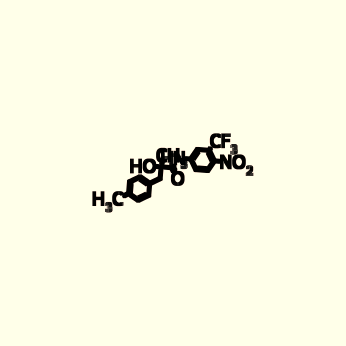 Cc1ccc(C[C@](C)(O)C(=O)Nc2ccc([N+](=O)[O-])c(C(F)(F)F)c2)cc1